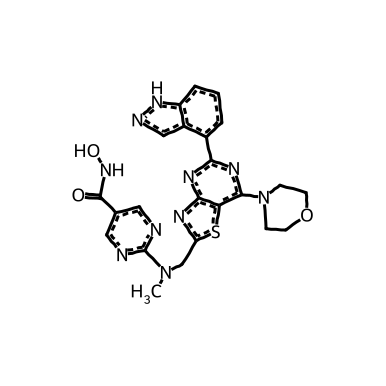 CN(Cc1nc2nc(-c3cccc4[nH]ncc34)nc(N3CCOCC3)c2s1)c1ncc(C(=O)NO)cn1